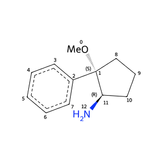 CO[C@]1(c2ccccc2)CCC[C@H]1N